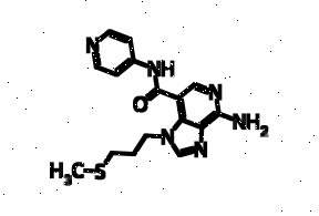 CSCCCn1cnc2c(N)ncc(C(=O)Nc3ccncc3)c21